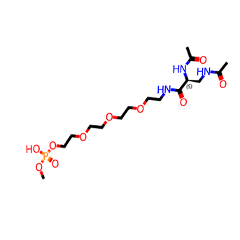 COP(=O)(O)OCCOCCOCCOCCNC(=O)[C@H](CNC(C)=O)NC(C)=O